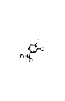 CCN(CC)c1ccc(F)c(Cl)c1